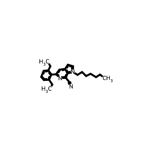 CCCCCCCn1ccc2cc(-c3c(CC)cccc3CC)nc(C#N)c21